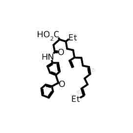 C=CC(CC/C=C\CC/C=C/CC)CCC(CC)C(CC(=O)Nc1ccc(C(=O)c2ccccc2)cc1)C(=O)O